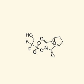 O=C1C2C3CCC(O3)C2C(=O)N1OS(=O)(=O)C(F)(F)CO